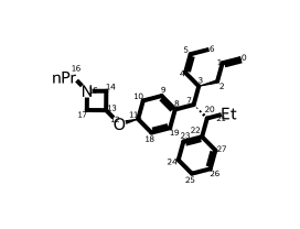 C=CC[C@H](/C=C\C)[C@@H](C1=CC[C@H](OC2CN(CCC)C2)C=C1)C(CC)C1=CCCC=C1